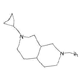 CC(C)N1CCC2CCN(C3CC3)CC2C1